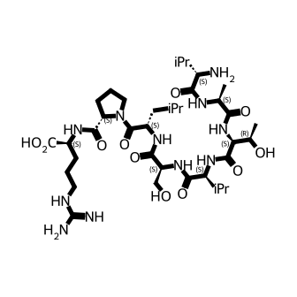 CC(C)C[C@H](NC(=O)[C@H](CO)NC(=O)[C@@H](NC(=O)[C@@H](NC(=O)[C@H](C)NC(=O)[C@@H](N)C(C)C)[C@@H](C)O)C(C)C)C(=O)N1CCC[C@H]1C(=O)N[C@@H](CCCNC(=N)N)C(=O)O